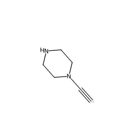 [C]#CN1CCNCC1